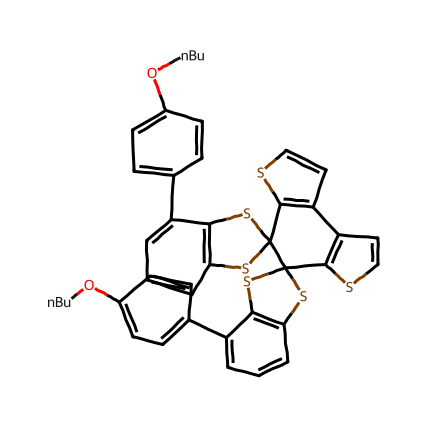 CCCCOc1ccc(-c2cccc3c2SC2(S3)c3sccc3-c3ccsc3C23Sc2cccc(-c4ccc(OCCCC)cc4)c2S3)cc1